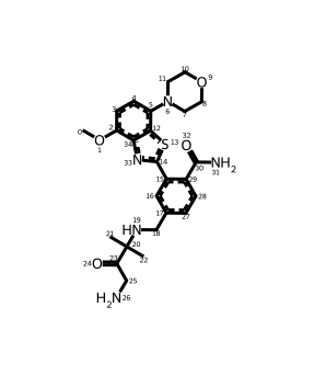 COc1ccc(N2CCOCC2)c2sc(-c3cc(CNC(C)(C)C(=O)CN)ccc3C(N)=O)nc12